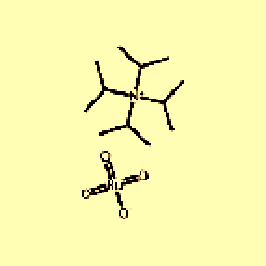 CC(C)[N+](C(C)C)(C(C)C)C(C)C.[O]=[Ru](=[O])(=[O])[O-]